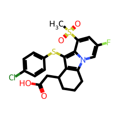 CS(=O)(=O)c1cc(F)cn2c3c(c(Sc4ccc(Cl)cc4)c12)C(CC(=O)O)CCC3